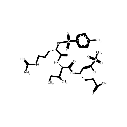 CCC(C)[C@H](NC(=O)[C@H](CCCNC(=N)N)NS(=O)(=O)c1ccc(C)cc1)C(=O)N[C@H](/C=C(\Cl)S(C)(=O)=O)CCC(=O)O